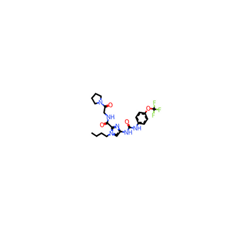 CCCCn1cc(NC(=O)Nc2ccc(OC(F)(F)F)cc2)nc1C(=O)NCC(=O)N1CCCC1